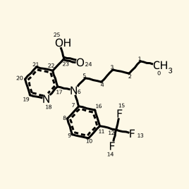 CCCCCCN(c1cccc(C(F)(F)F)c1)c1ncccc1C(=O)O